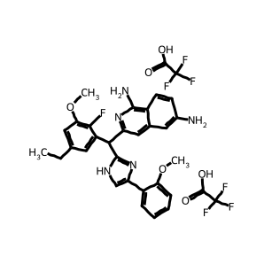 CCc1cc(OC)c(F)c(C(c2cc3cc(N)ccc3c(N)n2)c2nc(-c3ccccc3OC)c[nH]2)c1.O=C(O)C(F)(F)F.O=C(O)C(F)(F)F